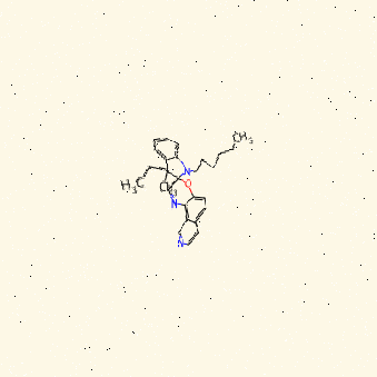 CCCCCCN1c2ccccc2C(C)(CC)C12C=Nc1c(ccc3ccncc13)O2